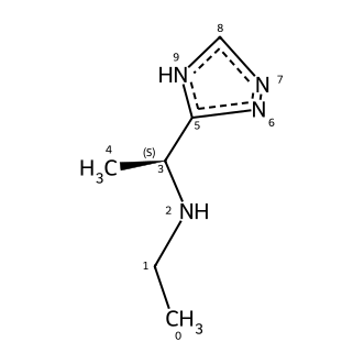 CCN[C@@H](C)c1nnc[nH]1